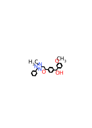 COc1cccc(C(O)c2ccc(C(=O)Cc3nc(C)nc(-c4ccccc4)n3)cc2)c1